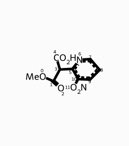 COC(=O)C(C(=O)O)c1ncccc1[N+](=O)[O-]